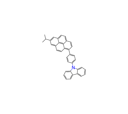 CC(C)c1cc2ccc3ccc(-c4ccc(-n5c6ccccc6c6ccccc65)cc4)c4ccc(c1)c2c34